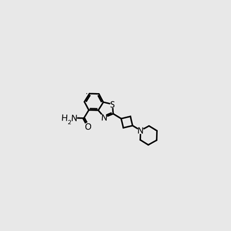 NC(=O)c1c[c]cc2sc(C3CC(N4CCCCC4)C3)nc12